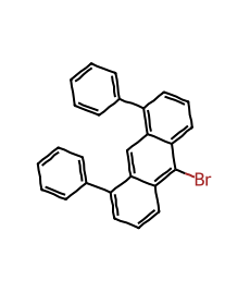 Brc1c2cccc(-c3ccccc3)c2cc2c(-c3ccccc3)cccc12